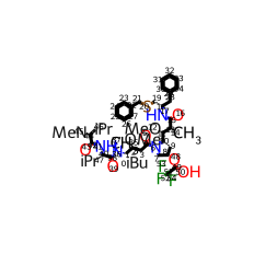 CC[C@H](C)[C@@H]([C@@H](CC(=O)N1CCC[C@H]1[C@H](OC)[C@@H](C)C(=O)N[C@H](CSCc1ccccc1)Cc1ccccc1)OC)N(C)C(=O)[C@@H](NC(=O)[C@@H](NC)C(C)C)C(C)C.O=C(O)C(F)(F)F